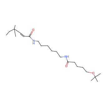 CCC(C)(C)/C=C/C(=O)NCCCCCCNC(=O)CCCCOC(C)(C)C